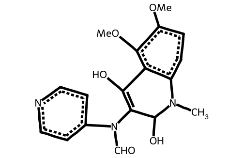 COc1ccc2c(c1OC)C(O)=C(N(C=O)c1ccncc1)C(O)N2C